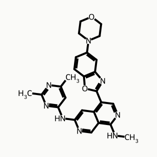 CNc1ncc(-c2nc3cc(N4CCOCC4)ccc3o2)c2cc(Nc3cc(C)nc(C)n3)ncc12